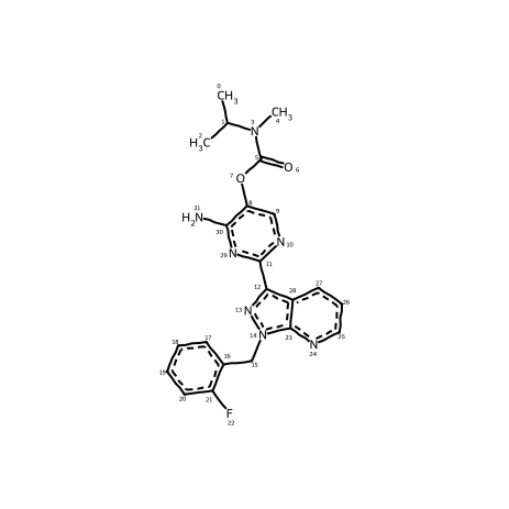 CC(C)N(C)C(=O)Oc1cnc(-c2nn(Cc3ccccc3F)c3ncccc23)nc1N